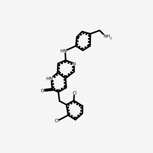 NCc1ccc(Nc2cc3[nH]c(=O)c(Cc4c(Cl)cccc4Cl)cc3cn2)cc1